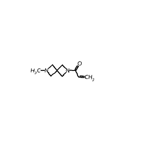 C=CC(=O)N1CC2(CN(C)C2)C1